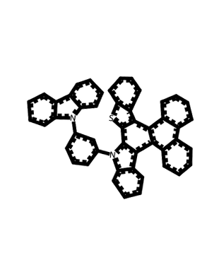 c1cc(-n2c3ccccc3c3ccccc32)cc(-n2c3ccccc3c3c4c5ccccc5c5ccccc5c4c4c5ccccc5sc4c32)c1